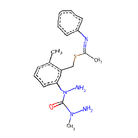 CC(=Nc1ccccc1)SCc1c(C)cccc1N(N)C(=O)N(C)N